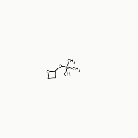 C[Si](C)(C)OC1CCO1